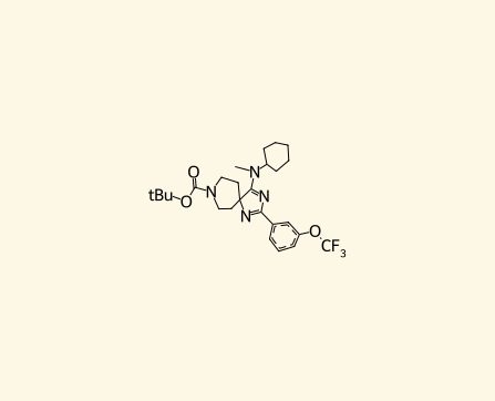 CN(C1=NC(c2cccc(OC(F)(F)F)c2)=NC12CCN(C(=O)OC(C)(C)C)CC2)C1CCCCC1